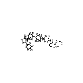 CC(C)C(N)C(=O)OC1CCN(c2ncc(-c3ccc4nc5n(c4n3)[C@@H](c3ccccc3)CC5)cn2)CC1